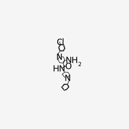 NC1=C(C(=O)NC2CCN(Cc3ccccc3)CC2)CCN(Cc2cccc(Cl)c2)C1